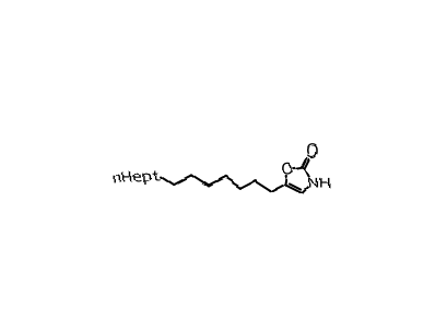 CCCCCCCCCCCCCCc1c[nH]c(=O)o1